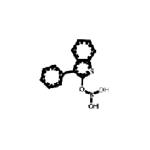 OB(O)Oc1sc2ccccc2c1-c1ccccc1